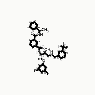 C[C@@H](NC(=O)c1cccc(C(=O)N[C@@H](COc2cc(F)cc(F)c2)[C@H](O)CNCc2cccc(C(F)(F)F)c2)c1)c1ccccc1